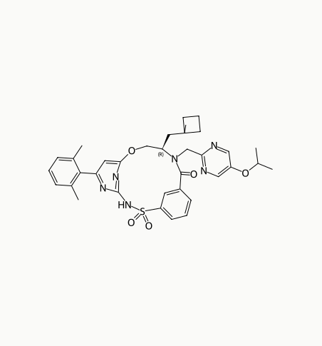 Cc1cccc(C)c1-c1cc2nc(n1)NS(=O)(=O)c1cccc(c1)C(=O)N(Cc1ncc(OC(C)C)cn1)[C@H](CC1(C)CCC1)CO2